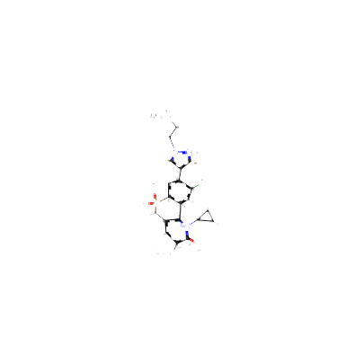 COCCn1cc(-c2cc3c(cc2Cl)-c2c(cc(C(=O)O)c(=O)n2C2CC2)CS3(=O)=O)cn1